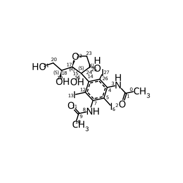 CC(=O)Nc1c(I)c(NC(C)=O)c(I)c([C@@]2(O)[C@@H]([C@@H](O)CO)OC[C@@H]2O)c1I